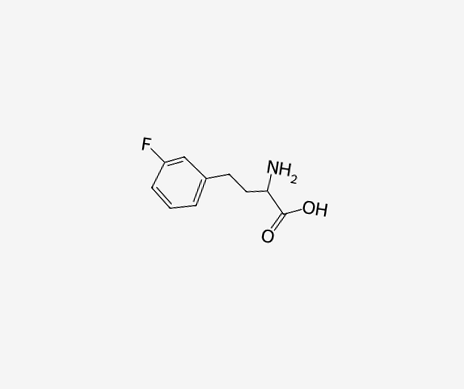 NC(CCc1cccc(F)c1)C(=O)O